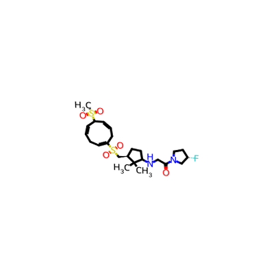 CC1(C)C(NCC(=O)N2CC[C@H](F)C2)CC[C@@H]1CS(=O)(=O)/C1=C/CC=CC(S(C)(=O)=O)/C=C\C1